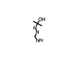 CCCCN=NC(C)(C)O